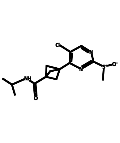 CC(C)NC(=O)C12CC(c3nc([S+](C)[O-])ncc3Cl)(C1)C2